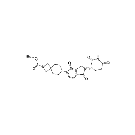 CC(C)(C)OC(=O)N1CC2(CCC(n3ccc4c(c3=O)CN([C@H]3CCC(=O)NC3=O)C4=O)CC2)C1